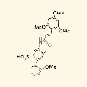 COc1cc(OC)c(C=CC(=O)Nc2cc(S(=O)(=O)O)c(-c3ccccc3OC)cc2C)c(OC)c1